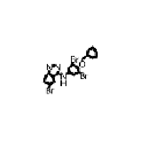 Brc1ccc2ncnc(Nc3cc(Br)c(OCc4ccccc4)c(Br)c3)c2c1